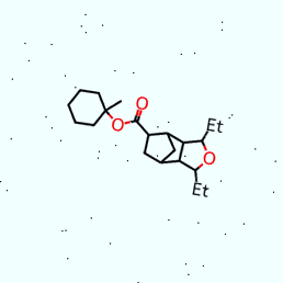 CCC1OC(CC)C2C3CC(CC3C(=O)OC3(C)CCCCC3)C12